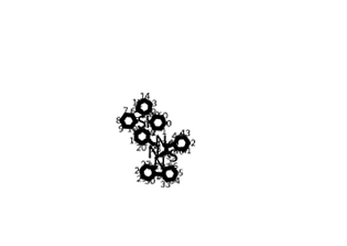 c1ccc([Si](c2ccccc2)(c2ccccc2)c2cccc(-c3nc(-n4c5ccccc5c5ccccc54)c4sc5ccccc5c4n3)c2)cc1